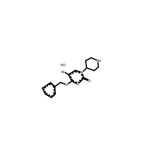 Cl.O=c1nc(OCc2ccccc2)c(Br)cn1C1CCNCC1